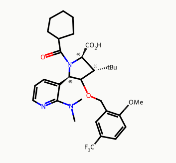 COc1ccc(C(F)(F)F)cc1COC1[C@@H](c2cccnc2N(C)C)N(C(=O)C2CCCCC2)[C@@H](C(=O)O)[C@@H]1C(C)(C)C